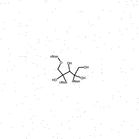 CCCCCCCCCOCC(O)(CCCCCCCCC)C(O)C(O)(CO)CCCCCCCCC